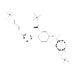 CC(C)(C)OC(=O)N1C[C@@H](Nc2ccc(OC(F)(F)F)nc2)CC[C@@H]1c1nnc(OCCOC(F)(F)F)o1